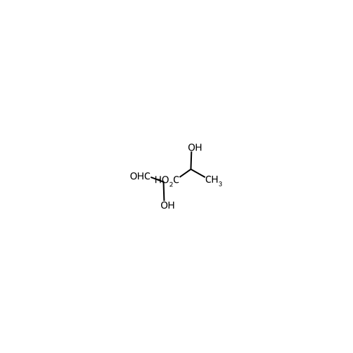 CC(O)C(=O)O.O=CCO